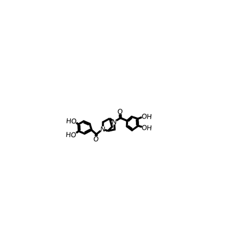 O=C(c1ccc(O)c(O)c1)N1CC2CC1CN2C(=O)c1ccc(O)c(O)c1